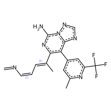 C=N/C=C\C=C(/C)c1nc(N)n2ncnc2c1-c1cc(C)nc(C(F)(F)F)c1